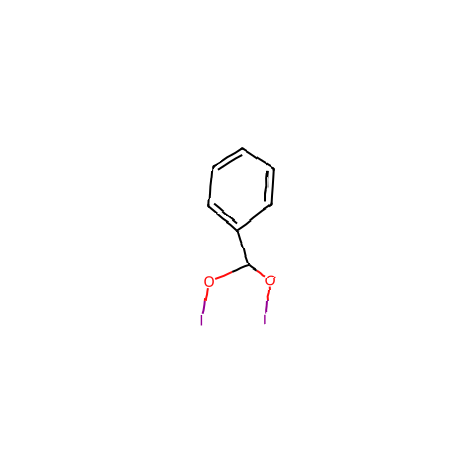 IOC(OI)c1ccccc1